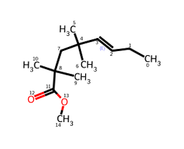 CC/C=C/C(C)(C)CC(C)(C)C(=O)OC